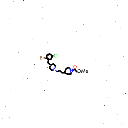 COCC(=O)N1CCC(CCCN2CCC(Cc3cc(Cl)ccc3Br)CC2)CC1